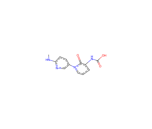 CNc1ccc(-n2cccc(NC(=O)O)c2=O)cn1